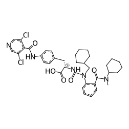 CN(C(=O)c1ccccc1N(CC1CCCCC1)C(=O)N[C@@H](Cc1ccc(NC(=O)c2c(Cl)cncc2Cl)cc1)C(=O)O)C1CCCCC1